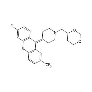 Fc1ccc2c(c1)Sc1ccc(C(F)(F)F)cc1C2=C1CCN(CC2CCOCO2)CC1